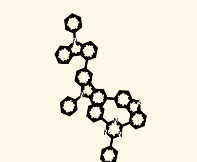 c1ccc(-c2nc(-c3ccccc3)nc(-c3cccc4sc5ccc(-c6ccc7c(c6)c6cc(-c8cccc9c8c8ccccc8n9-c8ccccc8)ccc6n7-c6ccccc6)cc5c34)n2)cc1